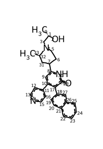 C[C@H](O)CN1CCC(c2cc(-c3ccncc3)c(-c3ccc4ccccc4c3)c(=O)[nH]2)C[C@H]1C